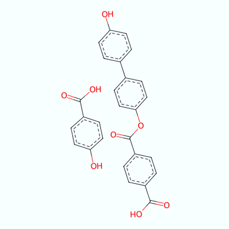 O=C(O)c1ccc(C(=O)Oc2ccc(-c3ccc(O)cc3)cc2)cc1.O=C(O)c1ccc(O)cc1